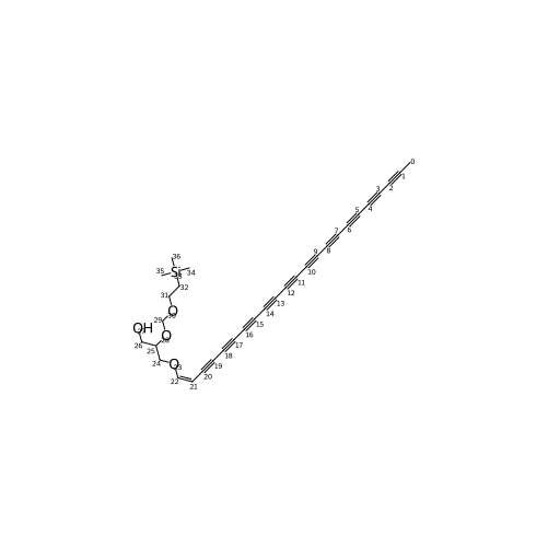 CC#CC#CC#CC#CC#CC#CC#CC#CC#CC#C/C=C\OCC(CO)OCOCC[Si](C)(C)C